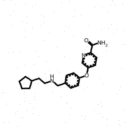 NC(=O)c1ccc(Oc2ccc(CNCCC3CCCC3)cc2)cn1